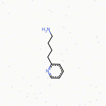 NCCCCc1ccccn1